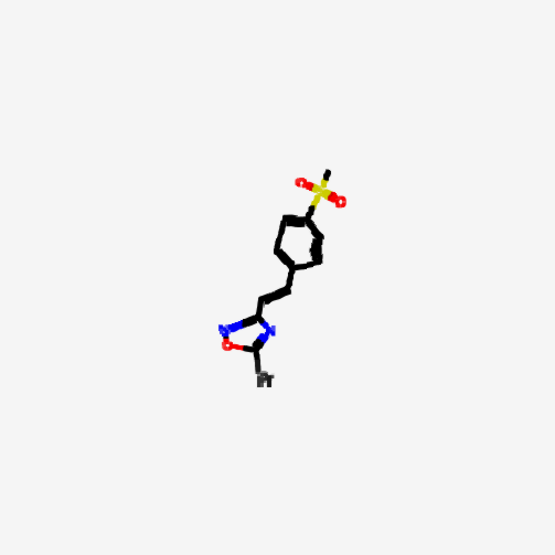 CC(C)c1nc(/C=C/c2ccc(S(C)(=O)=O)cc2)no1